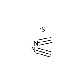 C#N.C#N.[S]